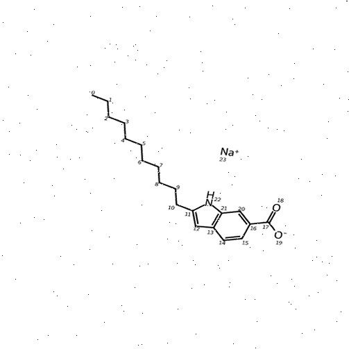 CCCCCCCCCCCc1cc2ccc(C(=O)[O-])cc2[nH]1.[Na+]